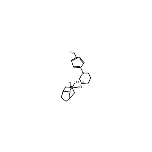 O=C(N[C@H]1CCCN(c2ccc(C(F)(F)F)cc2)C1)N1C2CCC1CC(O)C2